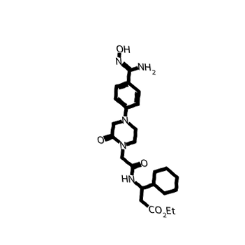 CCOC(=O)CC(NC(=O)CN1CCN(c2ccc(C(N)=NO)cc2)CC1=O)C1CCCCC1